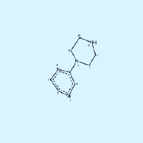 [c]1nccnc1N1CCNCC1